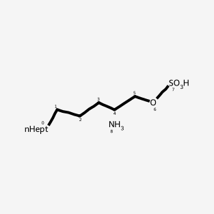 CCCCCCCCCCCCOS(=O)(=O)O.N